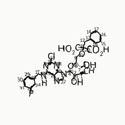 C#C[C@@H](O)[C@@H](O[C@@H](CO)COC(Cc1ccccc1)(C(=O)O)C(=O)O)n1cnc2c(NCc3cccc(F)c3)nc(Cl)nc21